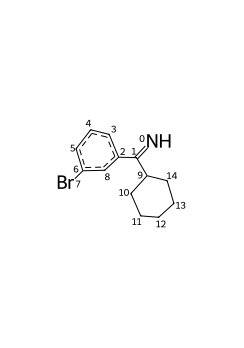 N=C(c1cccc(Br)c1)C1CCCCC1